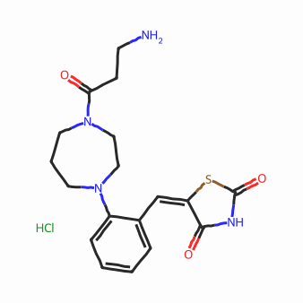 Cl.NCCC(=O)N1CCCN(c2ccccc2C=C2SC(=O)NC2=O)CC1